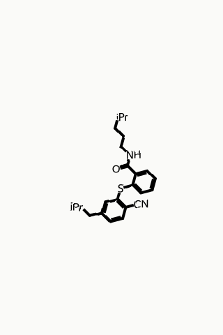 CC(C)CCCNC(=O)c1ccccc1Sc1cc(CC(C)C)ccc1C#N